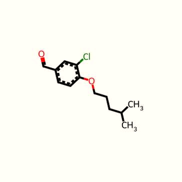 CC(C)CCCOc1ccc(C=O)cc1Cl